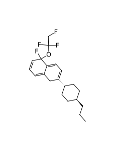 CCC[C@H]1CC[C@H](C2=CC=C3C(=CC=CC3(F)OC(F)(F)CF)C2)CC1